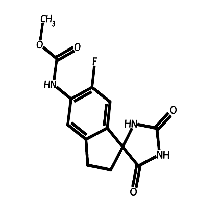 COC(=O)Nc1cc2c(cc1F)C1(CC2)NC(=O)NC1=O